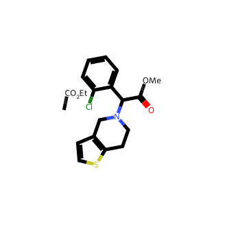 CCOC(C)=O.COC(=O)C(c1ccccc1Cl)N1CCc2sccc2C1